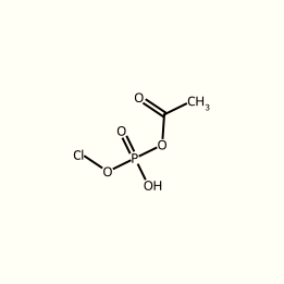 CC(=O)OP(=O)(O)OCl